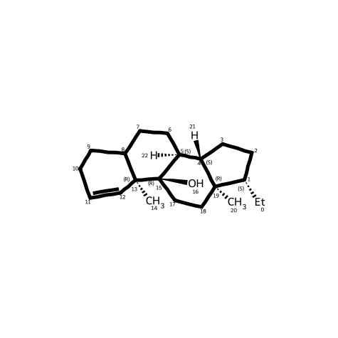 CC[C@H]1CC[C@H]2[C@@H]3CCC4CCC=C[C@]4(C)[C@@]3(O)CC[C@]12C